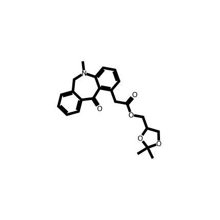 CN1Cc2ccccc2C(=O)c2c(CC(=O)OCC3COC(C)(C)O3)cccc21